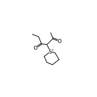 CCC(=O)C(C(C)=O)[S+]1CCCCC1